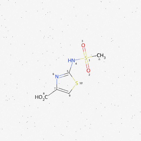 CS(=O)(=O)Nc1nc(C(=O)O)cs1